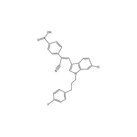 N#CC(=Cc1cn(CCCc2ccc(F)cc2)c2cc(Cl)ccc12)c1ccc(C(=O)O)cc1